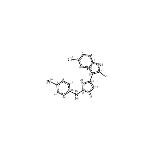 Cc1nc2ccc(Cl)cn2c1-c1csc(Nc2ccc(C(C)C)cc2)n1